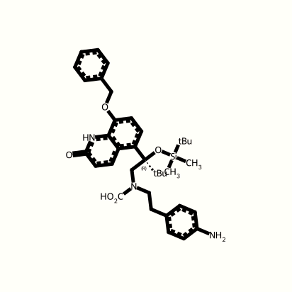 CC(C)(C)[C@@](CN(CCc1ccc(N)cc1)C(=O)O)(O[Si](C)(C)C(C)(C)C)c1ccc(OCc2ccccc2)c2[nH]c(=O)ccc12